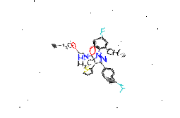 COCCNC(=O)C1(C)C(c2cccs2)C(c2ccc(F)cc2)=NN1c1ccc(F)cc1C